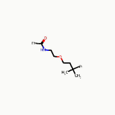 CCC(=O)NCCOCCC(C)(C)C(C)C